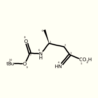 C[C@@H](CC(=N)C(=O)O)NC(=O)OC(C)(C)C